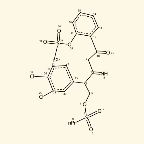 CCCS(=O)(=O)OCC(C(=N)CC(=O)c1ccccc1OS(=O)(=O)CCC)c1ccc(Cl)c(Cl)c1